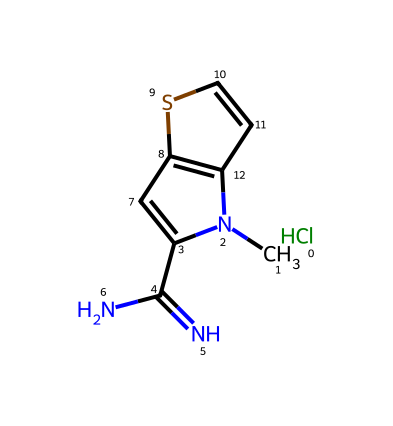 Cl.Cn1c(C(=N)N)cc2sccc21